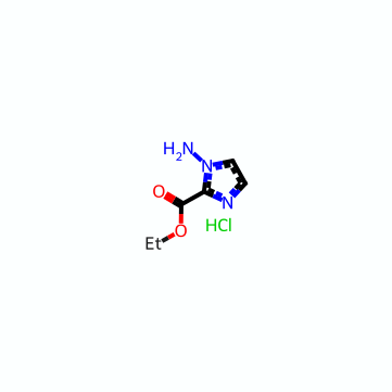 CCOC(=O)c1nccn1N.Cl